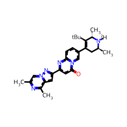 [2H]N1[C@@H](C)CC(c2ccc3nc(-c4cc5c(C)nc(C)cn5n4)cc(=O)n3c2)=C(C(C)(C)C)[C@@H]1C